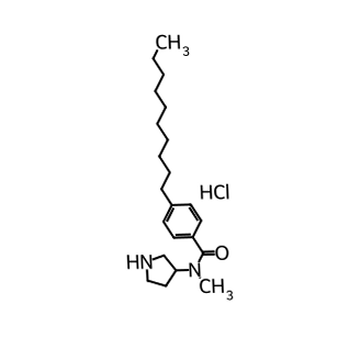 CCCCCCCCCCc1ccc(C(=O)N(C)C2CCNC2)cc1.Cl